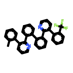 Cc1ccccc1-c1cccnc1-c1ccccc1-c1ccccc1-c1ncccc1-c1ccccc1C(F)(F)F